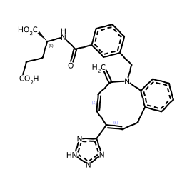 C=C1/C=C\C(c2nn[nH]n2)=C/Cc2ccccc2N1Cc1cccc(C(=O)N[C@@H](CCC(=O)O)C(=O)O)c1